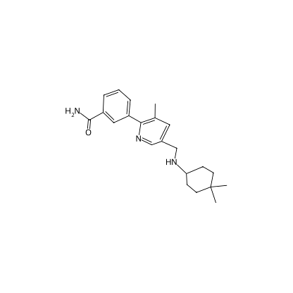 Cc1cc(CNC2CCC(C)(C)CC2)cnc1-c1cccc(C(N)=O)c1